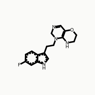 Fc1ccc2c(CCN3CN=CC4=C3NCCO4)c[nH]c2c1